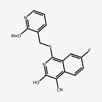 COc1ncccc1CSc1nc(O)c(C#N)c2ccc(F)cc12